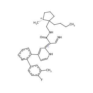 CCCCC1(CNC(=O)/C(C=N)=C2\C=C(c3cccnc3-c3ccc(F)c(C)c3)C=CN2)CCC[C@H]1C